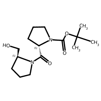 CC(C)(C)OC(=O)N1CCC[C@H]1C(=O)N1CCC[C@H]1CO